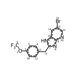 FC(F)(F)Oc1ccc(Cc2nc3ncc(Br)cc3[nH]2)cc1